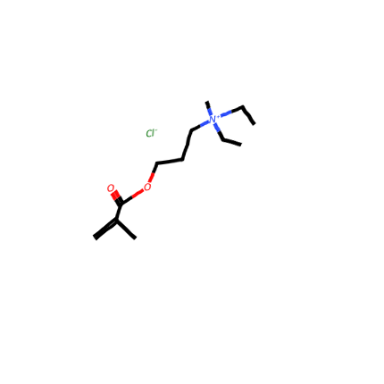 C=C(C)C(=O)OCCC[N+](C)(CC)CC.[Cl-]